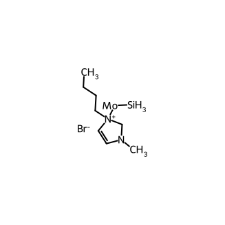 CCCC[N+]1([Mo][SiH3])C=CN(C)C1.[Br-]